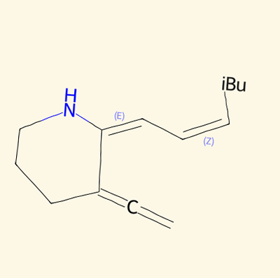 C=C=C1CCCN/C1=C/C=C\C(C)CC